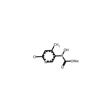 COC(=O)N(O)c1cnc(Cl)cc1C